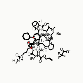 C=CCOC(=O)N[C@H](C(=O)N[C@@H](CCCNC(N)=O)C(=O)Nc1ccc(C[N+]2(C)[C@@H]3CC[C@@H](C3)[C@H]2C(=O)N[C@H](C(=O)N(C)[C@@H]([C@@H](C)CC)[C@@H](CC(=O)N2CCC[C@H]2[C@H](OC)[C@@H](C)C(=O)N[C@@H](Cc2ccccc2)c2nccs2)OC)C(C)C)c(CNC)c1)C(C)C.O=C([O-])C(F)(F)F